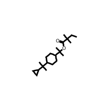 CCC(C)(C)C(=O)OC(C)(C)C1CCC(C(C)(C)C2CC2)CC1